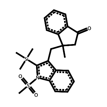 CC1(Cc2c([Si](C)(C)C)n(S(C)(=O)=O)c3ccccc23)CC(=O)c2ccccc21